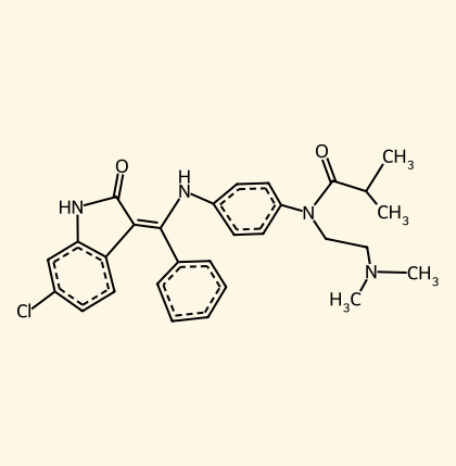 CC(C)C(=O)N(CCN(C)C)c1ccc(N/C(=C2\C(=O)Nc3cc(Cl)ccc32)c2ccccc2)cc1